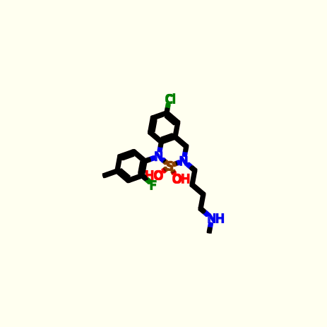 CNCCCCN1Cc2cc(Cl)ccc2N(c2ccc(C)cc2F)S1(O)O